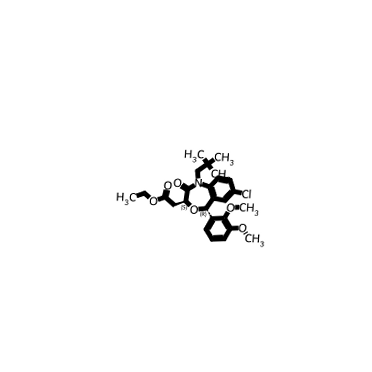 CCOC(=O)C[C@@H]1O[C@@H](c2cccc(OC)c2OC)c2cc(Cl)ccc2N(CC(C)(C)C)C1=O